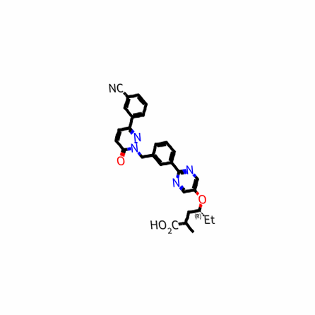 CC[C@H](CC(C)C(=O)O)Oc1cnc(-c2cccc(Cn3nc(-c4cccc(C#N)c4)ccc3=O)c2)nc1